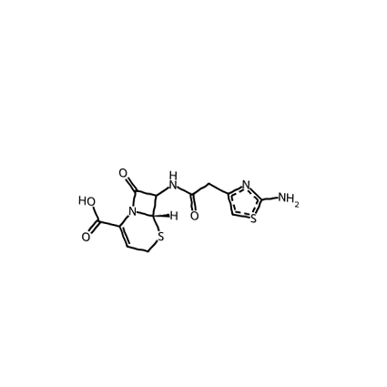 Nc1nc(CC(=O)NC2C(=O)N3C(C(=O)O)=CCS[C@@H]23)cs1